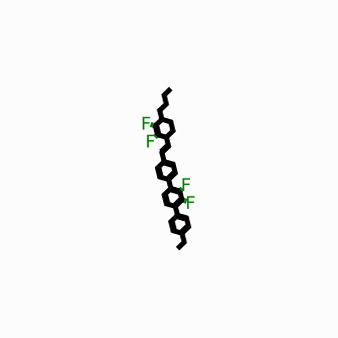 CCCCC1CCC(/C=C/c2ccc(-c3ccc(-c4ccc(CC)cc4)c(F)c3F)cc2)C(F)=C1F